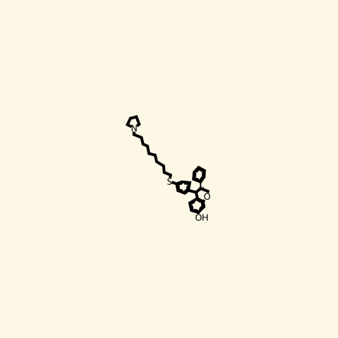 Oc1ccc2c(c1)OC[C@H](c1ccccc1)C2c1ccc(SCCCCCCCCCCN2CCCC2)cc1